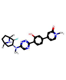 CN(c1cnc(-c2ccc(-c3ccn(C)c(=O)c3)cc2O)nn1)[C@H]1C[C@@H]2CC[C@@H](N2)[C@H]1F